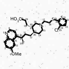 COc1ccc2nccc([C@H](F)CC[C@@H]3CCN(CCSc4sccc4Cl)C[C@H]3CCC(=O)O)c2c1